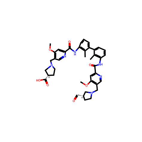 COc1cc(C(=O)Nc2cccc(-c3cccc(NC(=O)c4cc(OC)c(CN5CC[C@H](C(=O)O)C5)cn4)c3C)c2C)ncc1CN1CC[C@H](C=O)C1